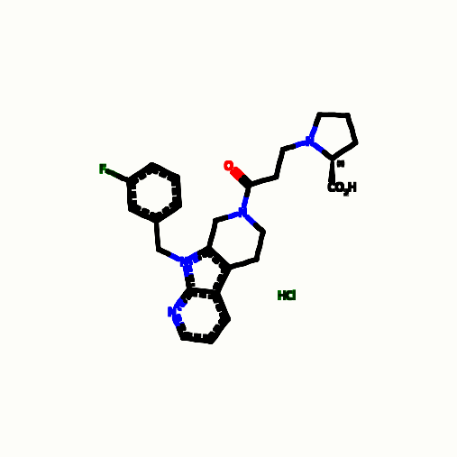 Cl.O=C(O)[C@@H]1CCCN1CCC(=O)N1CCc2c(n(Cc3cccc(F)c3)c3ncccc23)C1